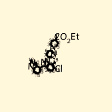 CCOC(=O)C1CCN(c2ccc(-n3nc(-c4cccc5nn(C)cc45)c4ccc(Cl)c(C)c43)cn2)CC1